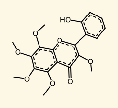 COc1c(OC)c(OC)c2c(=O)c(OC)c(-c3ccccc3O)oc2c1OC